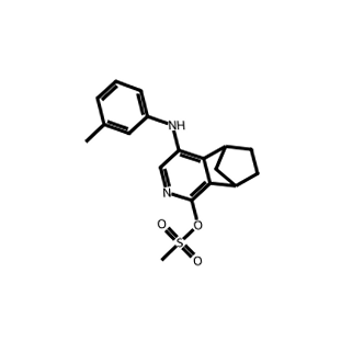 Cc1cccc(Nc2cnc(OS(C)(=O)=O)c3c2C2CCC3C2)c1